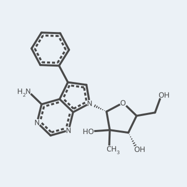 CC1(O)[C@@H](O)C(CO)O[C@H]1n1cc(-c2ccccc2)c2c(N)ncnc21